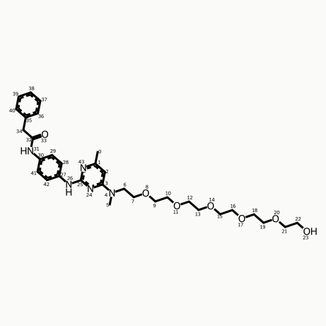 Cc1cc(N(C)CCOCCOCCOCCOCCOCCO)nc(Nc2ccc(NC(=O)Cc3ccccc3)cc2)n1